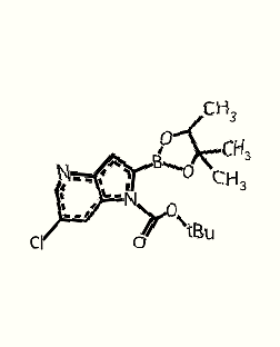 CC1OB(c2cc3ncc(Cl)cc3n2C(=O)OC(C)(C)C)OC1(C)C